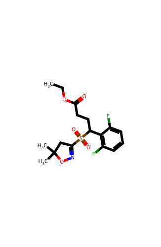 CCOC(=O)CCC(c1c(F)cccc1F)S(=O)(=O)C1=NOC(C)(C)C1